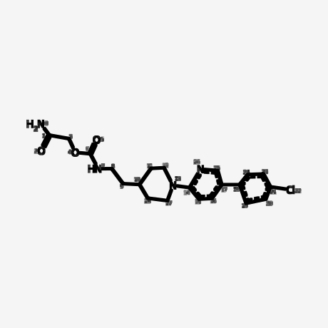 NC(=O)COC(=O)NCCC1CCN(c2ccc(-c3ccc(Cl)cc3)cn2)CC1